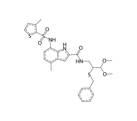 COC(OC)C(CNC(=O)c1cc2c(C)ccc(NS(=O)(=O)c3sccc3C)c2[nH]1)SCc1ccccc1